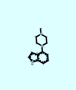 CN1CCN(c2cccc3[nH]ccc23)CC1